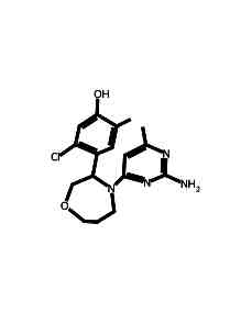 Cc1cc(N2CCCOCC2c2cc(C)c(O)cc2Cl)nc(N)n1